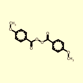 COc1ccc(C(=O)OOC(=O)c2ccc(OC)cc2)cc1